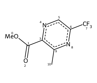 COC(=O)c1ncc(C(F)(F)F)nc1C